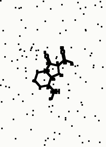 CNC1CCCN2C(=O)C(C(C)=O)CC12